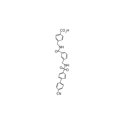 N#Cc1ccc(-c2ccc(S(=O)(=O)NCc3cccc(C(=O)NCc4ccc(C(=O)O)cc4)c3)cc2)cc1